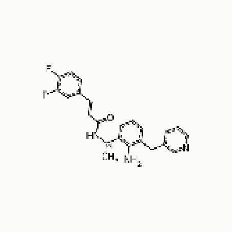 C[C@H](NC(=O)C=Cc1ccc(F)c(F)c1)c1cccc(Cc2cccnc2)c1N